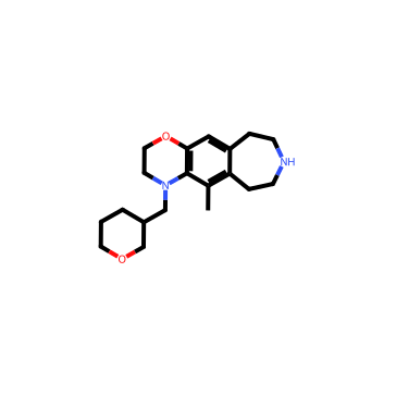 Cc1c2c(cc3c1N(CC1CCCOC1)CCO3)CCNCC2